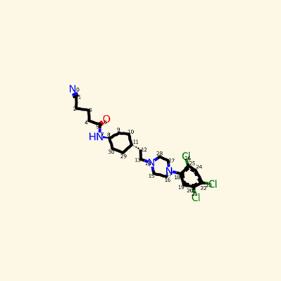 N#CCCCC(=O)N[C@H]1CC[C@H](CCN2CCN(c3cc(Cl)c(Cl)cc3Cl)CC2)CC1